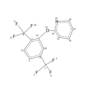 FC(F)(F)c1ccc(C(F)(F)F)c(Oc2cc[c]cn2)c1